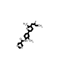 C=C/C(F)=C\c1ccc(-c2ccc(NC(=O)c3cncnc3)c(C)c2)nc1C